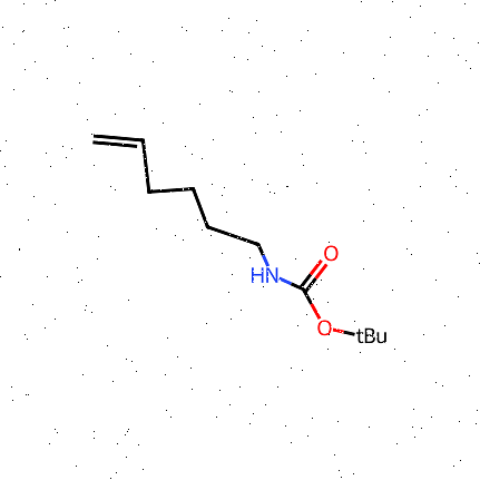 C=CCCCCNC(=O)OC(C)(C)C